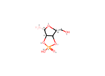 B[C@@H]1O[C@H](CO)C2OP(=O)(O)OC21